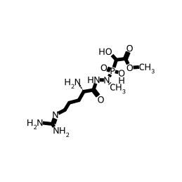 COC(=O)C(O)P(=O)(O)N(C)NC(=O)[C@@H](N)CCCN=C(N)N